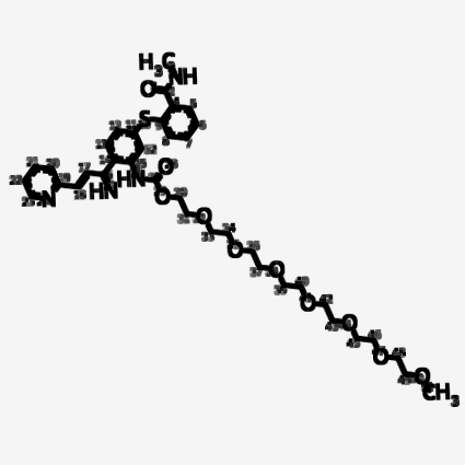 CNC(=O)c1ccccc1Sc1ccc(C(=N)/C=C/c2ccccn2)c(NC(=O)OCCOCCOCCOCCOCCOCCOCCOC)c1